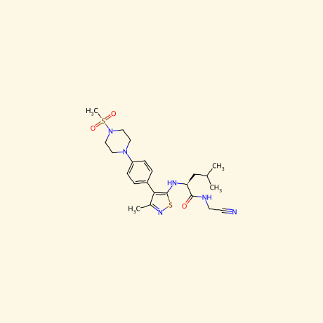 Cc1nsc(N[C@@H](CC(C)C)C(=O)NCC#N)c1-c1ccc(N2CCN(S(C)(=O)=O)CC2)cc1